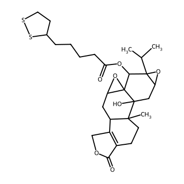 CC(C)C12OC1CC1(O)C3(C)CCC4=C(COC4=O)C3CC3OC31C2OC(=O)CCCCC1CCSS1